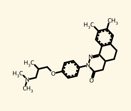 Cc1cc2c(cc1C)C1=NN(c3ccc(OCC(C)CN(C)C)cc3)C(=O)CC1CC2